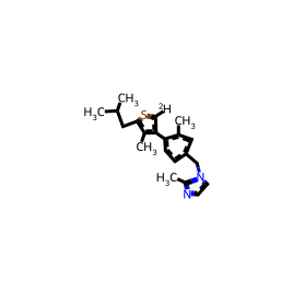 [2H]c1sc(CC(C)C)c(C)c1-c1ccc(Cn2ccnc2C)cc1C